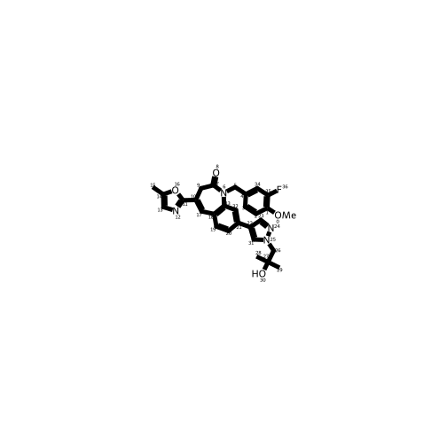 COc1ccc(CN2C(=O)CC(c3ncc(C)o3)=Cc3ccc(-c4cnn(CC(C)(C)O)c4)cc32)cc1F